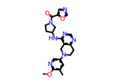 COc1ncc(N2CCc3ncnc(NC4CCN(C(=O)c5cnco5)C4)c3C2)cc1C